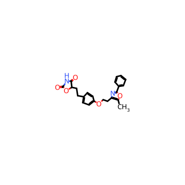 Cc1oc(-c2ccccc2)nc1CCOc1ccc(CCC2OC(=O)NC2=O)cc1